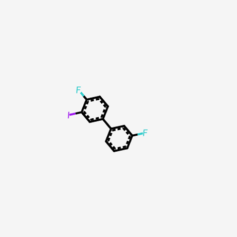 Fc1cccc(-c2ccc(F)c(I)c2)c1